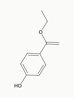 C=C(OCC)c1ccc(O)cc1